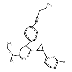 CCCC#Cc1ccc(N(C[C@@H](N)[C@@H](C)CC)C(=O)[C@@H]2C[C@H]2c2cccc(F)n2)cc1